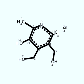 Cc1ncc(CO)c(CO)c1O.Cl.[Zn]